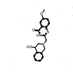 COc1ccc2nc(CN3Cc4ccccc4C(O)C3)[nH]c(=O)c2c1